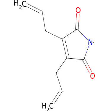 C=CCC1=C(CC=C)C(=O)[N]C1=O